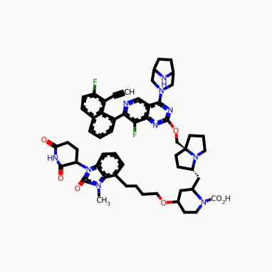 C#Cc1c(F)ccc2cccc(-c3ncc4c(N5CC6CCC(C5)N6)nc(OC[C@@]56CCCN5[C@H](CC5CC(OCCCCc7cccc8c7n(C)c(=O)n8C7CCC(=O)NC7=O)CCN5C(=O)O)CC6)nc4c3F)c12